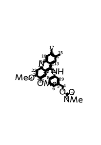 CNC(=O)OCc1cccc(Nc2c3cc(C)c(C)cc3nc3cc(OC)c(OC)cc23)c1